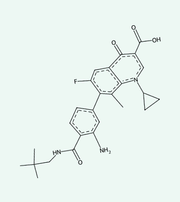 Cc1c(-c2ccc(C(=O)NCC(C)(C)C)c(N)c2)c(F)cc2c(=O)c(C(=O)O)cn(C3CC3)c12